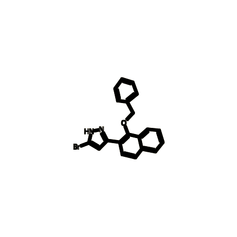 Brc1cc(-c2ccc3ccccc3c2OCc2ccccc2)n[nH]1